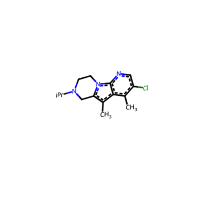 Cc1c(Cl)cnc2c1c(C)c1n2CCN(C(C)C)C1